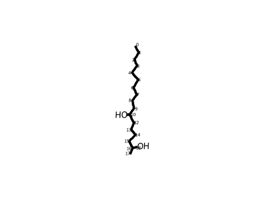 CCCCCCCCCCC(O)CCCCC(C)O